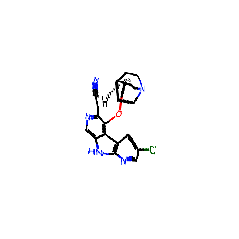 N#Cc1ncc2[nH]c3ncc(Cl)cc3c2c1O[C@@H]1CN2CCC1CC2